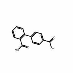 O=C(O)c1ccc(-c2[c]cccc2C(=O)O)cc1